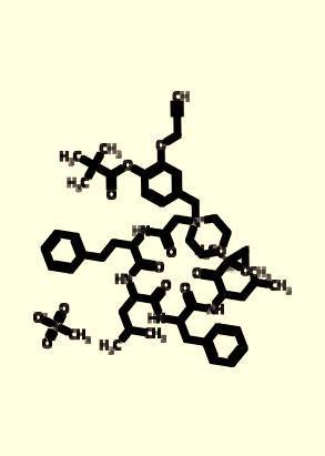 C#CCOc1cc(C[N+]2(CC(=O)NC(CCc3ccccc3)C(=O)NC(CC(C)C)C(=O)NC(Cc3ccccc3)C(=O)NC(CC(C)C)C(=O)[C@@]3(C)CO3)CCOCC2)ccc1OC(=O)C(C)(C)C.CS(=O)(=O)[O-]